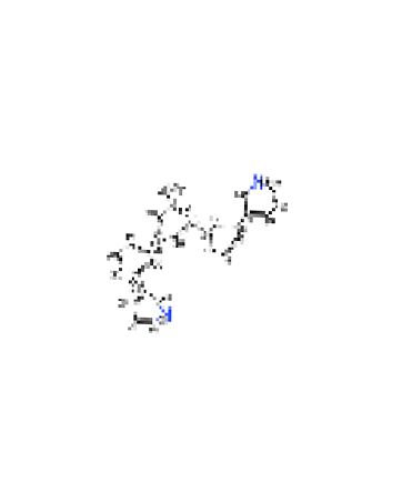 CC(C)c1cc(-c2cccc(-c3cccnc3)c2)cc(-c2cccc(-c3cccnc3)c2)c1